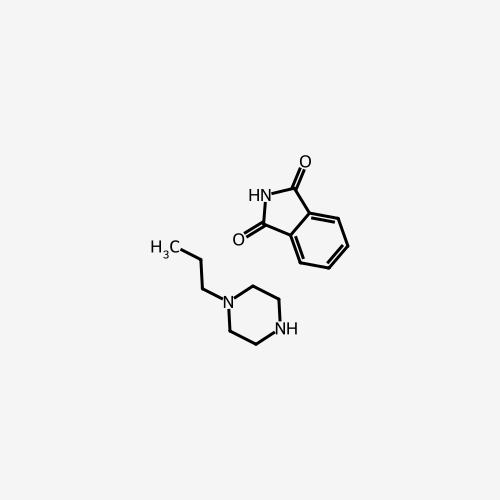 CCCN1CCNCC1.O=C1NC(=O)c2ccccc21